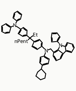 CCCCCC(CC)(c1ccc(N(Cc2cccc3c4ccccc4n(-c4ccccc4)c23)c2ccc(C3CCCCC3)cc2)cc1)c1ccc(N(c2ccccc2)c2ccccc2)cc1